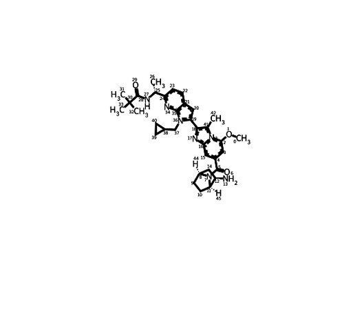 COc1cc(C(=O)N2[C@H]3CC[C@@H]2[C@H](N)C3)cc2nc(-c3cc4ccc([C@@H](C)NC(=O)C(C)(C)C)nc4n3CC3CC3)c(C)n12